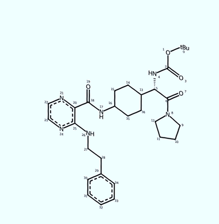 CC(C)(C)OC(=O)N[C@H](C(=O)N1CCCC1)C1CCC(NC(=O)c2nccnc2NCCc2ccccc2)CC1